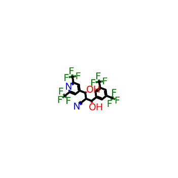 N#CC(C(O)c1cc(C(F)(F)F)cc(C(F)(F)F)c1)C(O)c1cc(C(F)(F)F)nc(C(F)(F)F)c1